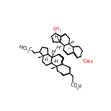 C[C@]12CCC(CC(=O)O)CC1CC[C@@H]1[C@@H]2CC[C@]2(C)C(CC(=O)O)CC[C@@H]12.C[C@]12CC[C@H]3[C@@H](CCC4=C[C@@H](O)CC[C@@]43C)[C@@H]1CC[C@@H]2O